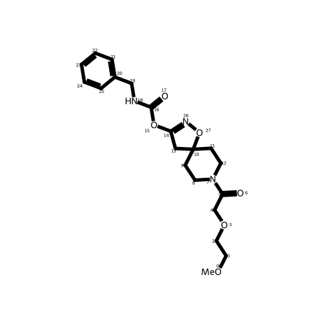 COCCOCC(=O)N1CCC2(CC1)CC(OC(=O)NCc1ccccc1)=NO2